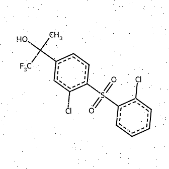 CC(O)(c1ccc(S(=O)(=O)c2ccccc2Cl)c(Cl)c1)C(F)(F)F